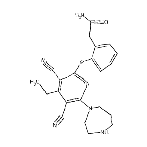 CCc1c(C#N)c(Sc2ccccc2CC(N)=O)nc(N2CCCNCC2)c1C#N